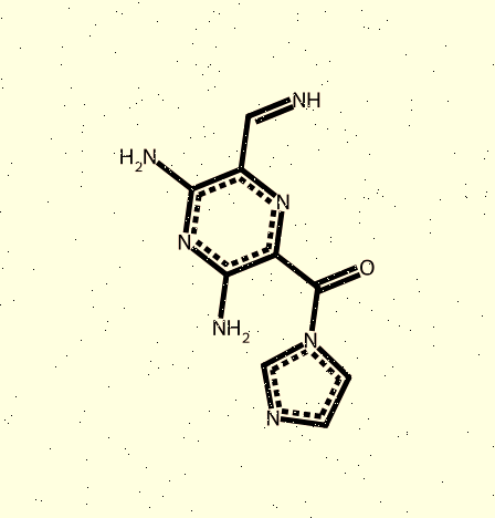 N=Cc1nc(C(=O)n2ccnc2)c(N)nc1N